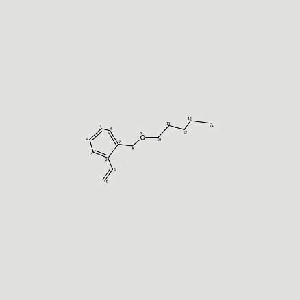 C=Cc1ccccc1COCCCCC